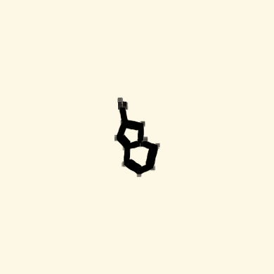 CCc1[c]c2ccccn2c1